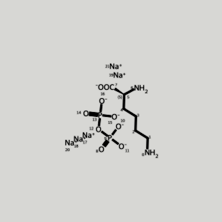 NCCCC[C@H](N)C(=O)[O-].O=P([O-])([O-])OP(=O)([O-])[O-].[Na+].[Na+].[Na+].[Na+].[Na+]